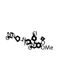 COc1cc2c(cc1OC1CCC1)[C@H](c1ccc(Cl)cc1)N(c1ccc(N(C)C[C@H]3CC[C@@H](N4CCN(C)C(=O)C4)CC3)nc1)C(=O)C2